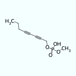 CCCC#CC#CCOP(=O)(O)OC